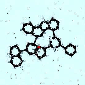 c1ccc(-c2cc(-c3cccc4oc5c6ccccc6c(-c6cccc(-c7cccc8ccccc78)c6)cc5c34)nc(-c3ccccc3)n2)cc1